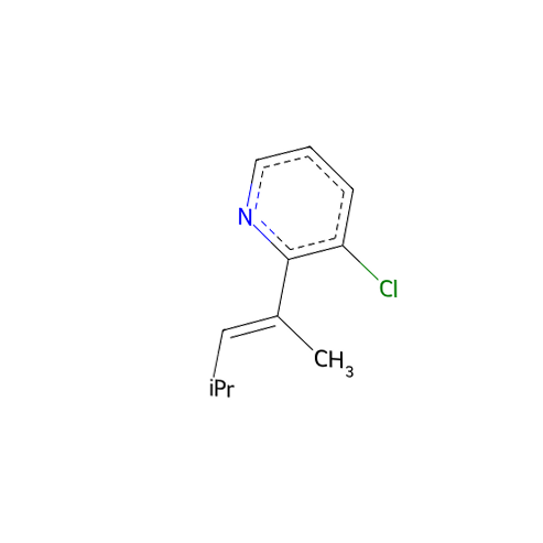 C/C(=C\C(C)C)c1ncccc1Cl